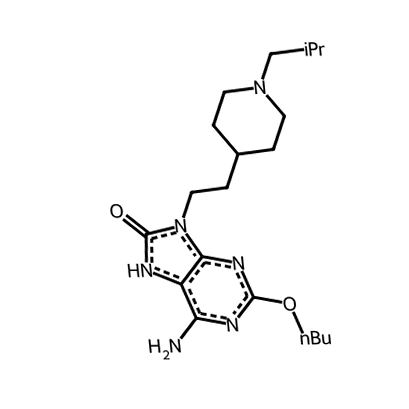 CCCCOc1nc(N)c2[nH]c(=O)n(CCC3CCN(CC(C)C)CC3)c2n1